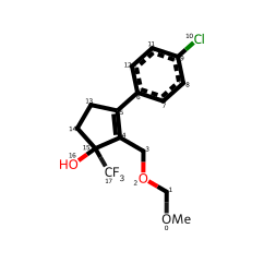 COCOCC1=C(c2ccc(Cl)cc2)CCC1(O)C(F)(F)F